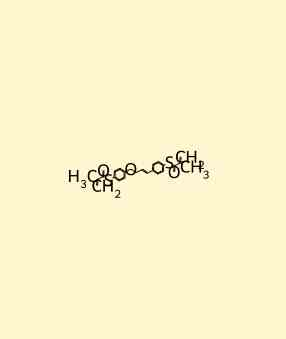 C=C(C)C(=O)Sc1ccc(/C=C/COc2ccc(SC(=O)C(=C)C)cc2)cc1